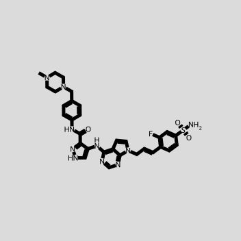 CN1CCN(Cc2ccc(NC(=O)c3n[nH]cc3Nc3ncnc4c3ccn4C/C=C/c3ccc(S(N)(=O)=O)cc3F)cc2)CC1